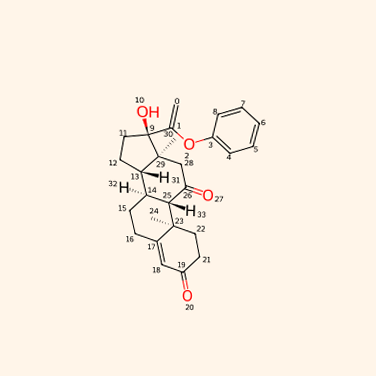 C=C(Oc1ccccc1)[C@@]1(O)CC[C@H]2[C@@H]3CCC4=CC(=O)CC[C@]4(C)[C@H]3C(=O)C[C@@]21C